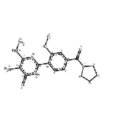 CCOc1cc(C(=O)N2CCCC2)ccc1-c1nc(NN)c(N)c(=O)[nH]1